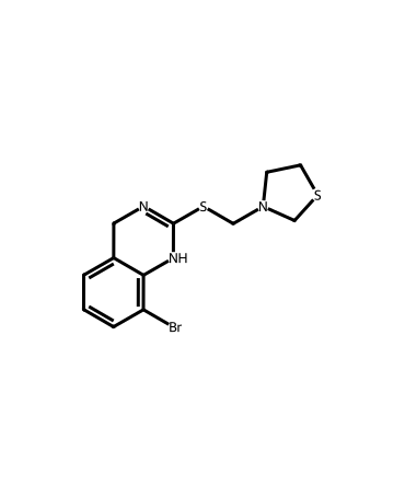 Brc1cccc2c1NC(SCN1CCSC1)=NC2